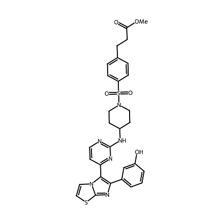 COC(=O)CCc1ccc(S(=O)(=O)N2CCC(Nc3nccc(-c4c(-c5cccc(O)c5)nc5sccn45)n3)CC2)cc1